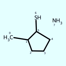 CC1CCCC1S.N